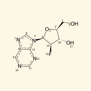 OC[C@@H]1O[C@H](n2cnc3cncnc32)[C@H](F)[C@H]1O